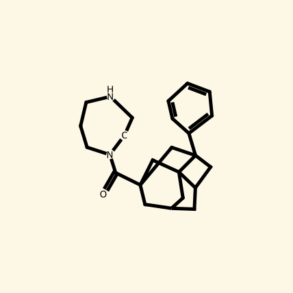 O=C(N1CCCNCC1)C12CC3CC4CC(c5ccccc5)(C1)C4(C3)C2